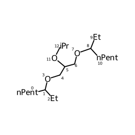 CCCCCC(CC)OCC(COC(CC)CCCCC)OC(C)C